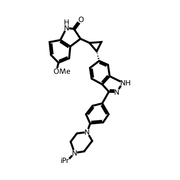 COc1ccc2c(c1)C(C1C[C@@H]1c1ccc3c(-c4ccc(N5CCN(C(C)C)CC5)cc4)n[nH]c3c1)C(=O)N2